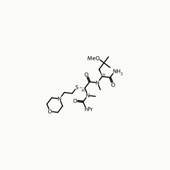 CCCC(=O)N(C)[C@H](SCCN1CCOCC1)C(=O)N(C)[C@@H](CC(C)(C)OC)C(N)=O